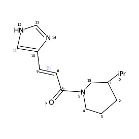 CC(C)C1CCCN(C(=O)/C=C/c2c[nH]cn2)C1